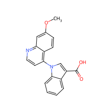 COc1ccc2c(-n3cc(C(=O)O)c4ccccc43)ccnc2c1